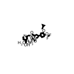 CC(C)(O)c1ccnc(CNC(=O)C2CC(c3ccc(OC(F)F)c(OCC4CC4)c3)CN2S(C)(=O)=O)c1